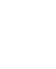 C=C(C(=O)OCC)C(=O)OCC(C)c1ccccc1